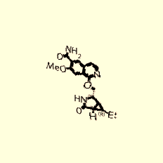 CC[C@@H]1C2[C@H]1C(=O)N[C@@H]2COc1nccc2cc(C(N)=O)c(OC)cc12